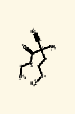 C#CC(N)(CCSC)C(=O)OCC